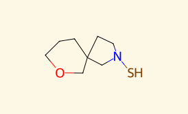 SN1CCC2(CCCOC2)C1